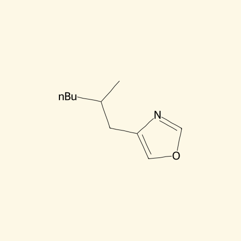 CCCCC(C)Cc1cocn1